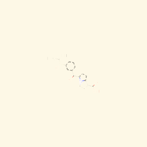 CC(C)[S+]([O-])c1cccc(C(=O)c2ccc3n2CCC3C(=O)O)c1